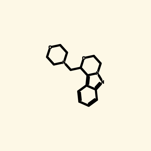 c1ccc2c3n(nc2c1)CCOC3CN1CCOCC1